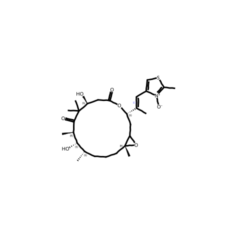 C/C(=C\c1csc(C)[n+]1[O-])[C@@H]1CC2O[C@]2(C)CCC[C@H](C)[C@H](O)[C@@H](C)C(=O)C(C)(C)[C@@H](O)CC(=O)O1